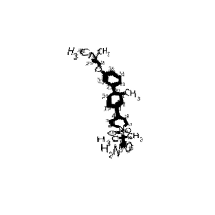 Cc1cc(C2CCN(S(=O)(=O)C(C)(C)C(N)=O)CC2)ccc1-c1cccc(OCCN(C)C)c1